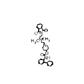 C[N+](C)(CCN1CCC(OC(=O)Nc2ccccc2-c2ccccc2)CC1)CCN1C(=O)c2ccccc2C1=O